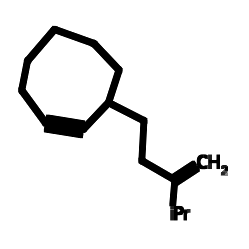 C=C(CCC1C#CCCCCC1)C(C)C